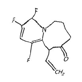 C=CC1C(=O)CCCN2C1=C(F)C=C(F)C2F